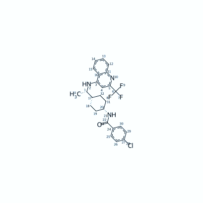 C[C@H](Nc1cc(C(F)(F)F)nc2ccccc12)[C@H]1CC[C@@H](NC(=O)c2ccc(Cl)cc2)CC1